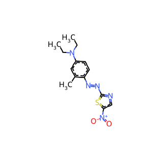 CCN(CC)c1ccc(N=Nc2ncc([N+](=O)[O-])s2)c(C)c1